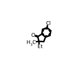 CCC1(C)Cc2ccc(Cl)cc2C1=O